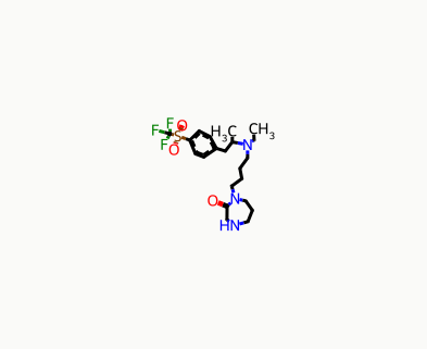 CCN(CCCCN1CCCNCC1=O)C(C)Cc1ccc(S(=O)(=O)C(F)(F)F)cc1